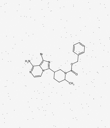 CC1CCC(c2nc(Br)c3c(N)nccn23)CN1C(=O)OCc1ccccc1